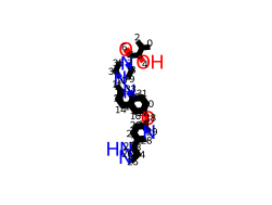 CC(C)C(O)C(=O)N1CCN(Cc2ccc3cc(Oc4ccc(-c5ccn[nH]5)cn4)ccc3n2)CC1